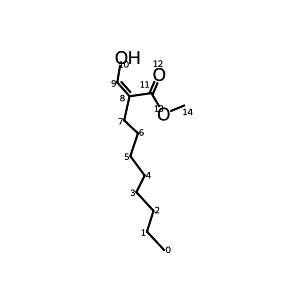 CCCCCCCC/C(=C/O)C(=O)OC